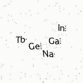 [Ga].[Ge].[In].[Na].[Tb]